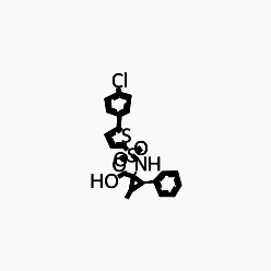 CC1[C@H](c2ccccc2)[C@]1(NS(=O)(=O)c1ccc(-c2ccc(Cl)cc2)s1)C(=O)O